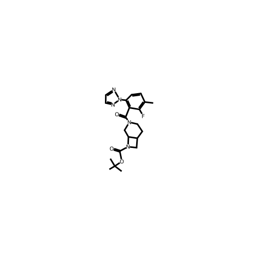 Cc1ccc(-n2nccn2)c(C(=O)N2CCC3CN(C(=O)OC(C)(C)C)C3C2)c1F